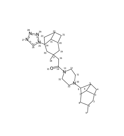 CC1CC2CC3C2C(C1)C3N1CCN(C(=O)CC2(C)CC3CC4CC(n5cnnn5)(C2)C34)CC1